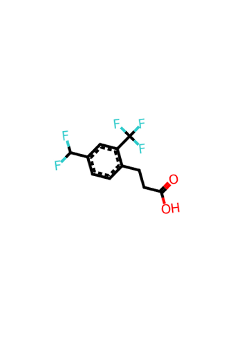 O=C(O)CCc1ccc(C(F)F)cc1C(F)(F)F